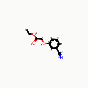 CCOC(=O)COc1cccc(C#N)c1